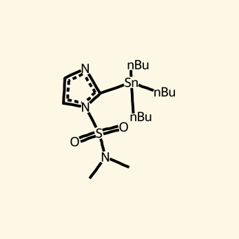 CCC[CH2][Sn]([CH2]CCC)([CH2]CCC)[c]1nccn1S(=O)(=O)N(C)C